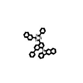 c1ccc(-c2ccc3c(-c4nc(-c5ccccc5)nc(-c5ccc6ccccc6c5)n4)ccc(-n4c5ccccc5c5cc6ccccc6cc54)c3c2)cc1